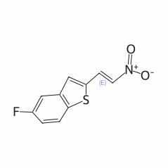 O=[N+]([O-])/C=C/c1cc2cc(F)ccc2s1